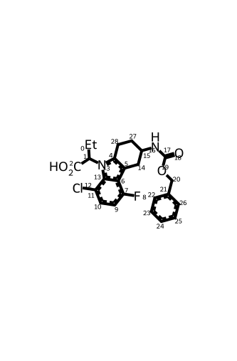 CCC(C(=O)O)n1c2c(c3c(F)ccc(Cl)c31)CC(NC(=O)OCc1ccccc1)CC2